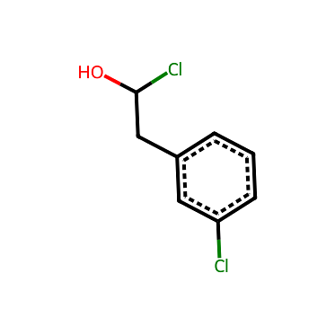 OC(Cl)Cc1cccc(Cl)c1